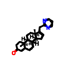 C[C@]12CCC(=O)CC1CC[C@@H]1[C@@H]2CC[C@]2(C)C(Cc3ncccn3)=CC[C@@H]12